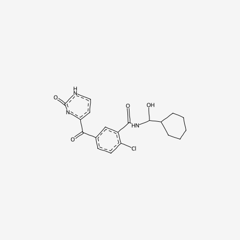 O=C(c1ccc(Cl)c(C(=O)NC(O)C2CCCCC2)c1)c1cc[nH]c(=O)n1